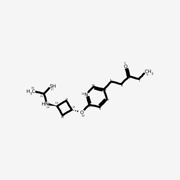 CCC(=O)CCc1ccc(O[C@H]2C[C@H](NC(C)S)C2)nc1